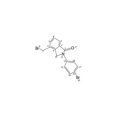 O=C1c2cccc(CBr)c2CN1c1ccc(Br)cc1